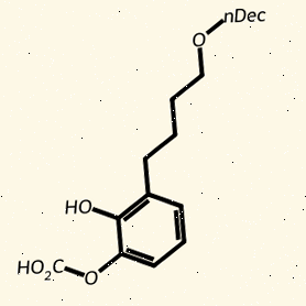 CCCCCCCCCCOCCCCc1cccc(OC(=O)O)c1O